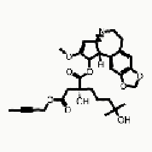 CC#CCOC(=O)C[C@](O)(CCCC(C)(C)O)C(=O)OC1C(OC)=CC23CCCN2CCc2cc4c(cc2[C@H]13)OCO4